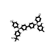 Cc1ccc(N(c2ccc(Cl)cc2)c2ccc(-c3ccc(N(c4ccc(Cl)cc4)c4ccc(C(C)(C)C#N)cc4)cc3)cc2)c(C)c1